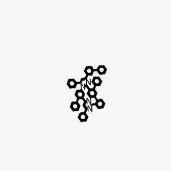 c1ccc(-c2cccc(-c3cc(-c4ccccc4)nc(-c4ccc(-c5ccccc5-c5nc(-c6ccccc6)cc(-c6ccccc6-c6ccccc6)n5)cc4-c4ccccc4)n3)c2)cc1